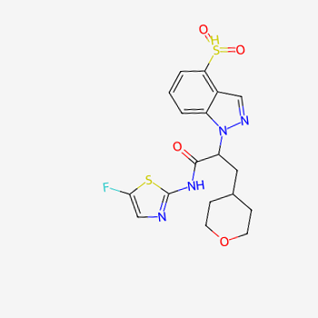 O=C(Nc1ncc(F)s1)C(CC1CCOCC1)n1ncc2c([SH](=O)=O)cccc21